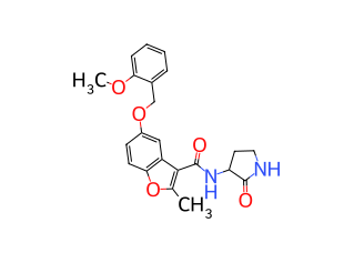 COc1ccccc1COc1ccc2oc(C)c(C(=O)NC3CCNC3=O)c2c1